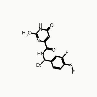 CC[C@@H](NC(=O)c1cc(=O)[nH]c(C)n1)c1ccc(SF)c(F)c1